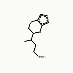 CCCCCCCCCC(C)C1COc2cscc2O1